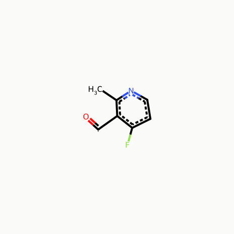 Cc1nccc(F)c1[C]=O